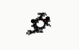 CC(=O)N[C@@H](CCCNC(=N)N)C(=O)N[C@H]1CCC(=O)NCCC[C@@H](C(N)=O)NC(=O)[C@H](Cc2c[nH]c3ccccc23)NC(=O)[C@H](CCCNC(=N)N)NC(=O)[C@@H](Cc2ccccc2)NC(=O)C(CC(N)=O)NC1=O